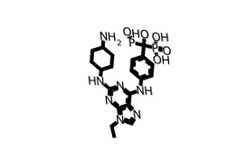 CCn1cnc2c(Nc3ccc(C(O)(P=O)P(=O)(O)O)cc3)nc(NC3CCC(N)CC3)nc21